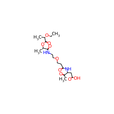 CCOC(C)C(=O)OC(C)C(=O)NCCOCCC(=O)NC(CC(=O)O)C(C)=O